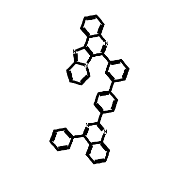 c1ccc(-c2nc(-c3ccc(-c4cccc(-c5nc6ccccc6c6nc7ccccn7c56)c4)cc3)nc3ccccc23)cc1